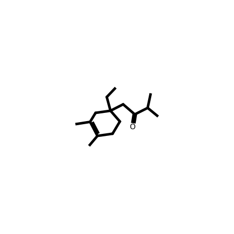 CCC1(CC(=O)C(C)C)CCC(C)=C(C)C1